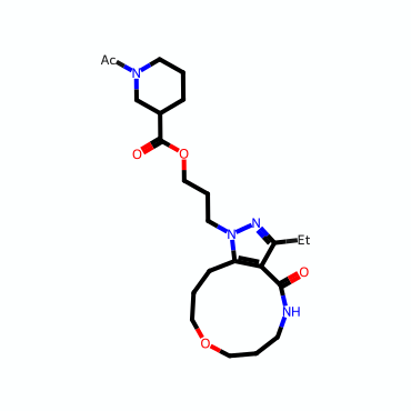 CCc1nn(CCCOC(=O)C2CCCN(C(C)=O)C2)c2c1C(=O)NCCCOCCC2